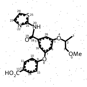 COCC(C)Oc1cc(Oc2ccc(C(=O)O)cc2)cc(C(=O)Nc2nccs2)c1